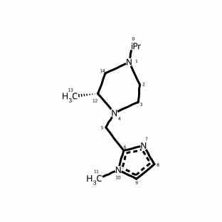 CC(C)N1CCN(Cc2nccn2C)[C@H](C)C1